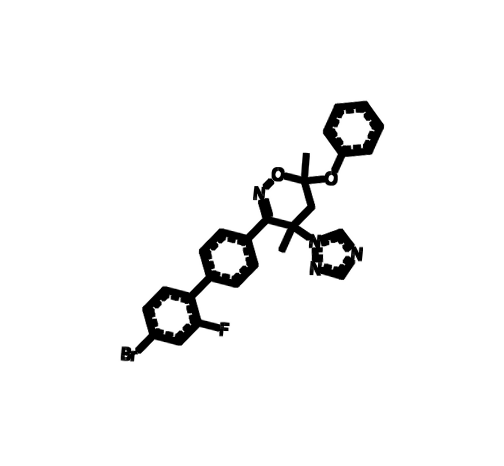 CC1(Oc2ccccc2)CC(C)(n2cncn2)C(c2ccc(-c3ccc(Br)cc3F)cc2)=NO1